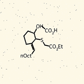 CC(=O)O.CCCCCCCCC=C1CCCC(O)C1SCC(=O)OCC